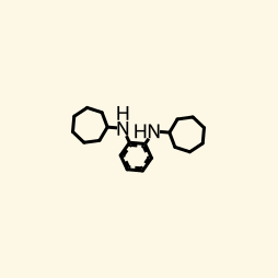 c1ccc(NC2CCCCCC2)c(NC2CCCCCC2)c1